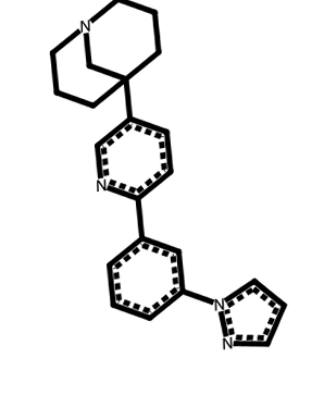 c1cc(-c2ccc(C34CCCN(CCC3)C4)cn2)cc(-n2cccn2)c1